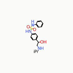 CC(C)NCC(O)c1ccc(NS(=O)(=O)Nc2ccccc2)cc1